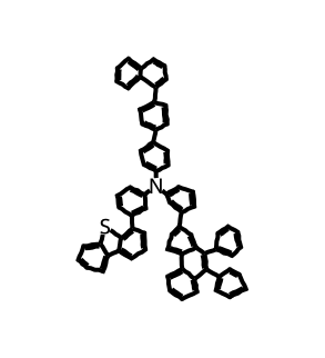 c1ccc(-c2c(-c3ccccc3)c3cc(-c4cccc(N(c5ccc(-c6ccc(-c7cccc8ccccc78)cc6)cc5)c5cccc(-c6cccc7c6sc6ccccc67)c5)c4)ccc3c3ccccc23)cc1